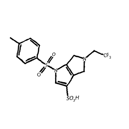 Cc1ccc(S(=O)(=O)n2cc(S(=O)(=O)O)c3c2CN(CC(F)(F)F)C3)cc1